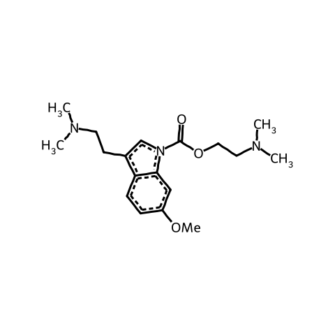 COc1ccc2c(CCN(C)C)cn(C(=O)OCCN(C)C)c2c1